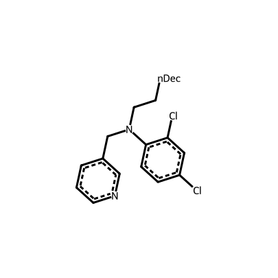 CCCCCCCCCCCCN(Cc1cccnc1)c1ccc(Cl)cc1Cl